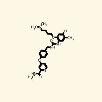 CNC(=O)c1cc(Oc2ccc(CNC(=O)Nc3cc(C)c(Cl)cc3OCCCCN(C)C)cc2)ccn1